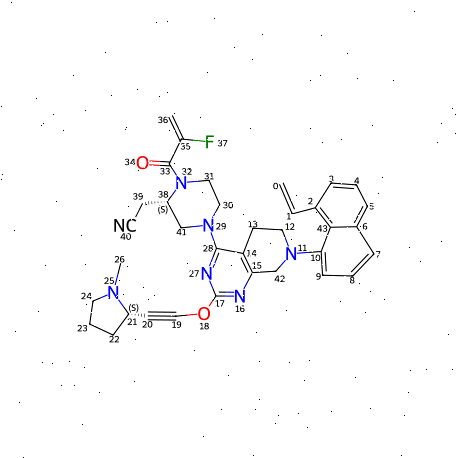 C=Cc1cccc2cccc(N3CCc4c(nc(OC#C[C@@H]5CCCN5C)nc4N4CCN(C(=O)C(=C)F)[C@@H](CC#N)C4)C3)c12